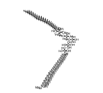 O[Si](O)(O)O.O[Si](O)(O)O.O[Si](O)(O)O.O[Si](O)(O)O.O[Si](O)(O)O.[NaH].[NaH].[NaH].[NaH].[NaH].[NaH].[NaH].[NaH].[NaH].[NaH].[NaH].[NaH].[NaH].[NaH].[NaH].[NaH].[NaH].[NaH].[NaH].[NaH].[NaH].[NaH].[NaH].[NaH].[NaH].[NaH].[NaH].[NaH].[NaH].[NaH].[NaH].[NaH].[NaH].[NaH].[NaH].[NaH]